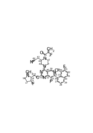 C=C(F)C(=O)N1CCN(c2nc(OC[C@H]3[C@@H](F)CCN3C)nc3c(F)c(-c4cccc5ccc(F)c(Cl)c45)ncc23)CC1CC#N